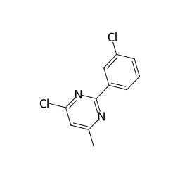 Cc1cc(Cl)nc(-c2cccc(Cl)c2)n1